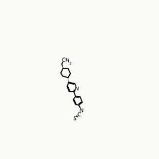 CC[C@H]1CC[C@H](c2ccc(-c3ccc(N=C=S)cc3)nc2)CC1